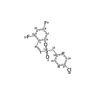 O=S(=O)(/C=C\c1ccc(F)cc1F)Cc1ccc(Cl)cc1